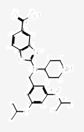 CC(C)Oc1cc(CN(c2nc3cc(C(=O)O)ccc3o2)C2CCNCC2)cc(OC(C)C)c1